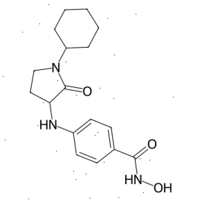 O=C(NO)c1ccc(NC2CCN(C3CCCCC3)C2=O)cc1